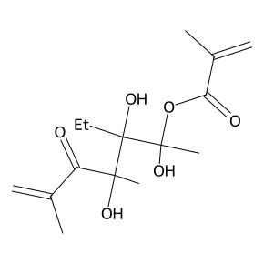 C=C(C)C(=O)OC(C)(O)C(O)(CC)C(C)(O)C(=O)C(=C)C